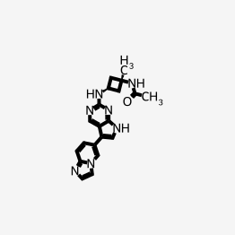 CC(=O)N[C@]1(C)C[C@@H](Nc2ncc3c(-c4ccc5nccn5c4)c[nH]c3n2)C1